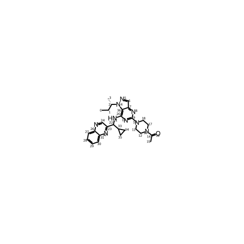 CC[C@H](C)n1ncc2nc(N3CCN(C(C)=O)CC3)nc(NC(c3cnc4ccccc4n3)C3CC3)c21